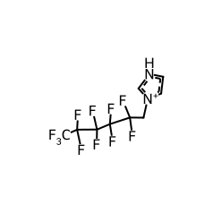 FC(F)(F)C(F)(F)C(F)(F)C(F)(F)C(F)(F)C[n+]1cc[nH]c1